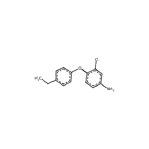 CCc1ccc(Oc2ccc(N)cc2Cl)cc1